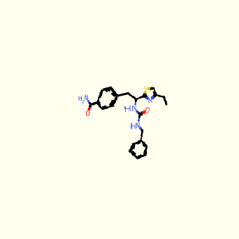 CCc1csc(C(Cc2ccc(C(N)=O)cc2)NC(=O)NCc2ccccc2)n1